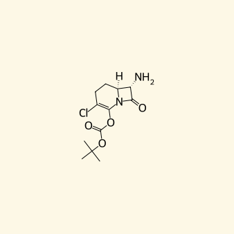 CC(C)(C)OC(=O)OC1=C(Cl)CC[C@H]2[C@H](N)C(=O)N12